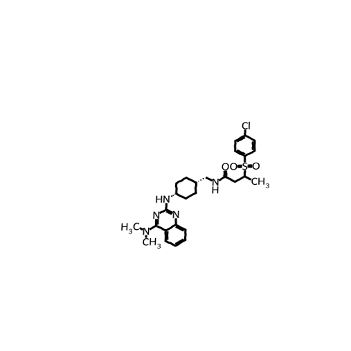 CC(CC(=O)NC[C@H]1CC[C@@H](Nc2nc(N(C)C)c3ccccc3n2)CC1)S(=O)(=O)c1ccc(Cl)cc1